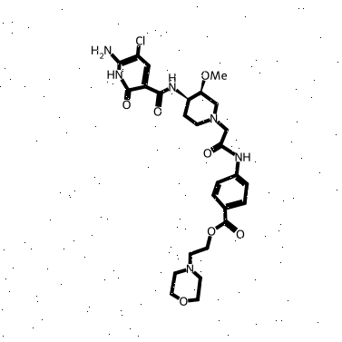 CO[C@H]1CN(CC(=O)Nc2ccc(C(=O)OCCN3CCOCC3)cc2)CC[C@H]1NC(=O)c1cc(Cl)c(N)[nH]c1=O